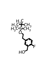 CC(C)(C)[Si](C)(C)OCCc1ccc(F)c(CO)c1